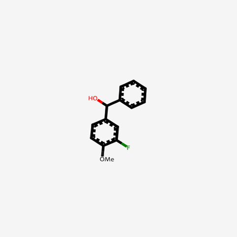 COc1ccc(C(O)c2ccccc2)cc1F